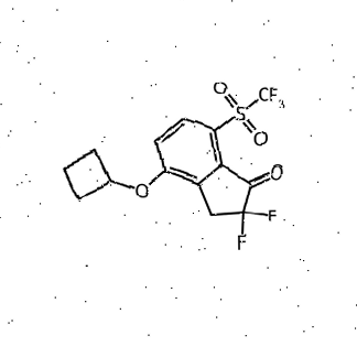 O=C1c2c(S(=O)(=O)C(F)(F)F)ccc(OC3CCC3)c2CC1(F)F